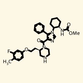 COC(=O)N[C@H]1CCCCC1n1cnc(C(=O)N2CCNC[C@H]2CCOc2ccc(C)c(F)c2)c1-c1ccccc1